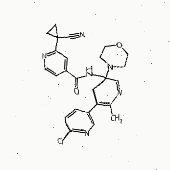 CC1=C(c2ccc(Cl)nc2)CC(NC(=O)c2ccnc(C3(C#N)CC3)c2)(N2CCOCC2)C=N1